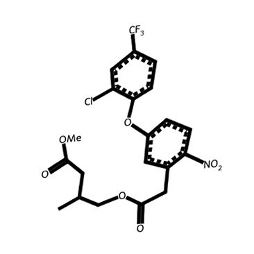 COC(=O)CC(C)COC(=O)Cc1cc(Oc2ccc(C(F)(F)F)cc2Cl)ccc1[N+](=O)[O-]